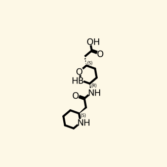 O=C(O)C[C@@H]1CC[C@H](NC(=O)C[C@@H]2CCCCN2)BO1